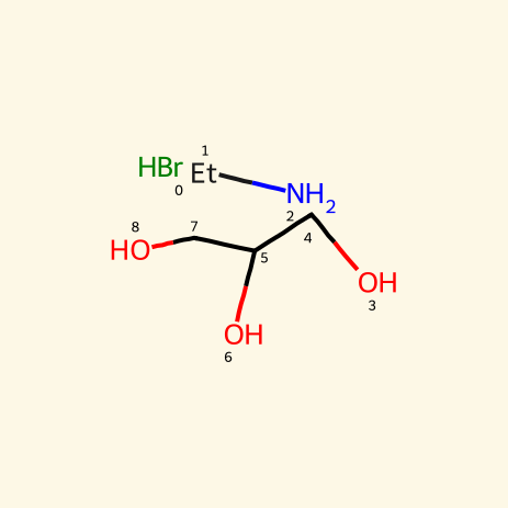 Br.CCN.OCC(O)CO